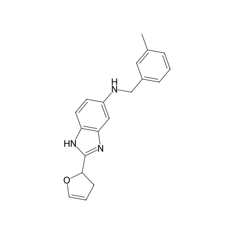 Cc1cccc(CNc2ccc3[nH]c(C4CC=CO4)nc3c2)c1